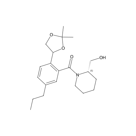 CCCc1ccc(C2COC(C)(C)O2)c(C(=O)N2CCCC[C@H]2CO)c1